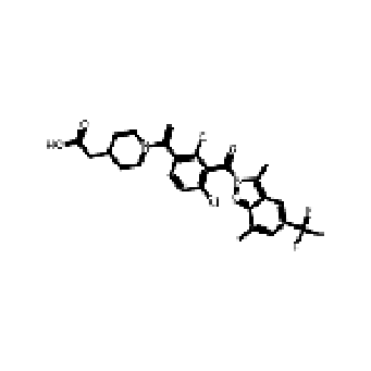 C=C(c1ccc(Cl)c(C(=O)n2nc3c(C)cc(C(F)(F)F)cc3c2C)c1Cl)N1CCC(CC(=O)O)CC1